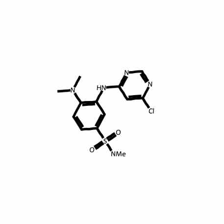 CNS(=O)(=O)c1ccc(N(C)C)c(Nc2cc(Cl)ncn2)c1